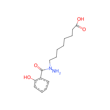 NN(CCCCCCCC(=O)O)C(=O)c1ccccc1O